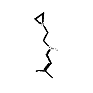 CC(C)=CC[SiH2]CCN1CC1